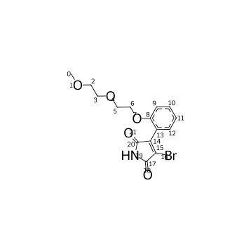 COCCOCCOc1ccccc1C1=C(Br)C(=O)NC1=O